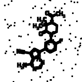 CC(=O)N1CCN(c2cc(-c3cc(C#N)c4c(N)ncnn34)ccc2F)C(=O)C1(C)C